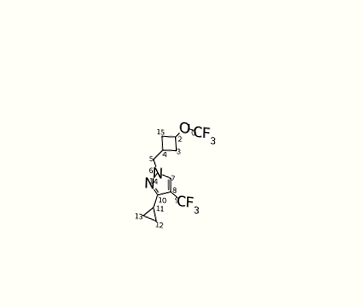 FC(F)(F)OC1CC(Cn2cc(C(F)(F)F)c(C3CC3)n2)C1